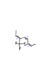 C\C=C(C)/C=C\C(=C/C)C(F)(F)F